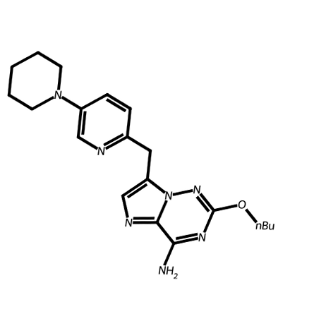 CCCCOc1nc(N)c2ncc(Cc3ccc(N4CCCCC4)cn3)n2n1